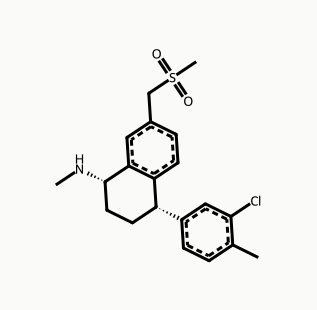 CN[C@H]1CC[C@@H](c2ccc(C)c(Cl)c2)c2ccc(CS(C)(=O)=O)cc21